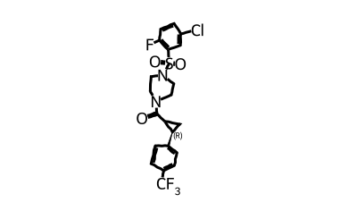 O=C(C1C[C@H]1c1ccc(C(F)(F)F)cc1)N1CCN(S(=O)(=O)c2cc(Cl)ccc2F)CC1